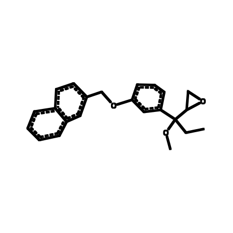 CCC(OC)(c1cccc(OCc2ccc3ccccc3c2)c1)C1CO1